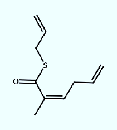 C=CCC=C(C)C(=O)SCC=C